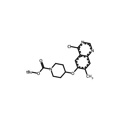 Cc1cc2ncnc(Cl)c2cc1OC1CCN(C(=O)OC(C)(C)C)CC1